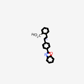 O=C(O)c1ccccc1/C=C/c1ccc(-c2nc3ccccc3o2)cc1